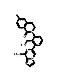 CNc1nc(-c2cccc(N3CCc4cc(C)ccc4C3=O)c2CO)cn2ccnc12